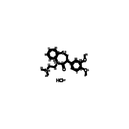 COc1ccc(C2CSc3ccccc3N(CCN(C)C)C2=O)cc1OC.Cl